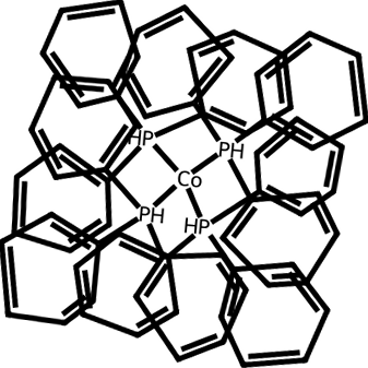 c1ccc([PH](c2ccccc2)(c2ccccc2)[Co]([PH](c2ccccc2)(c2ccccc2)c2ccccc2)([PH](c2ccccc2)(c2ccccc2)c2ccccc2)[PH](c2ccccc2)(c2ccccc2)c2ccccc2)cc1